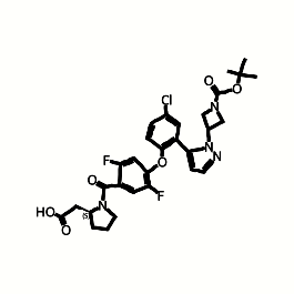 CC(C)(C)OC(=O)N1CC(n2nccc2-c2cc(Cl)ccc2Oc2cc(F)c(C(=O)N3CCC[C@H]3CC(=O)O)cc2F)C1